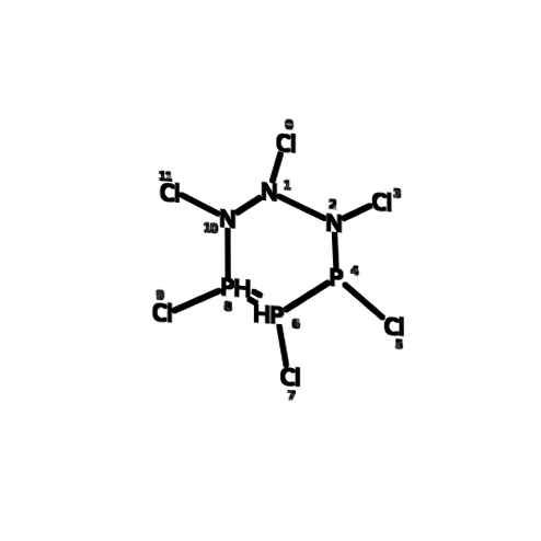 ClN1N(Cl)P(Cl)[PH](Cl)=[PH](Cl)N1Cl